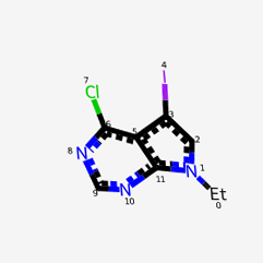 CCn1cc(I)c2c(Cl)ncnc21